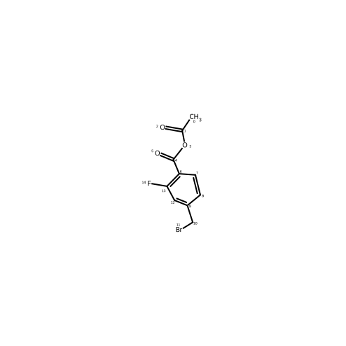 CC(=O)OC(=O)c1ccc(CBr)cc1F